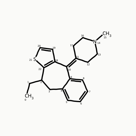 CCC1Cc2ccccc2C(=C2CCN(C)CC2)c2ccsc21